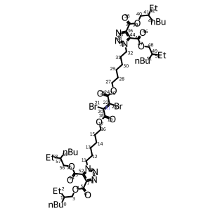 CCCCC(CC)COC(=O)c1nnn(CCCCCCOC(=O)/C(Br)=C(\Br)C(=O)OCCCCCCn2nnc(C(=O)OCC(CC)CCCC)c2C(=O)OCC(CC)CCCC)c1C(=O)OCC(CC)CCCC